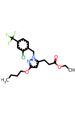 CCCCOc1cc(CCC(=O)OCC)n(Cc2ccc(C(F)(F)F)cc2Cl)n1